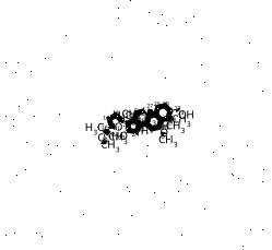 CO[C@H]1C[C@@H]2[C@]3(CC[C@]4(C)[C@@H]([C@@]5(C)CC[C@@H](C(C)(C)OC)O5)[C@@H](O)C[C@@]24C)C[C@@]32CC[C@H](CO)C(C)(C)[C@H]12